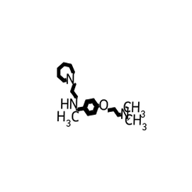 CC(NCCCN1CCCCCC1)c1ccc(OCCCN(C)C)cc1